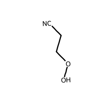 N#CCCOO